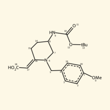 COc1ccc(CN2CC(NC(=O)OC(C)(C)C)CCC2=CC(=O)O)cc1